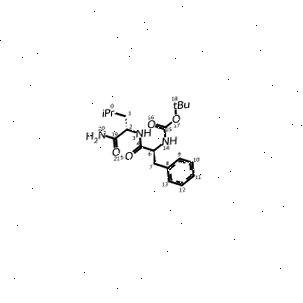 CC(C)C[C@H](NC(=O)[C@H](Cc1ccccc1)NC(=O)OC(C)(C)C)C(N)=O